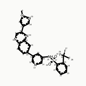 Cn1cc(-c2cnc3ccc(-c4cncc(NS(=O)(=O)c5ccccc5C(F)(F)F)c4)cc3n2)cn1